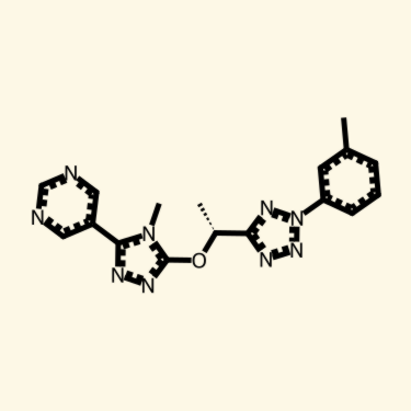 Cc1cccc(-n2nnc([C@@H](C)Oc3nnc(-c4cncnc4)n3C)n2)c1